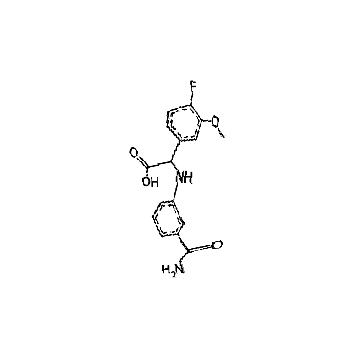 COc1cc(C(Nc2cccc(C(N)=O)c2)C(=O)O)ccc1F